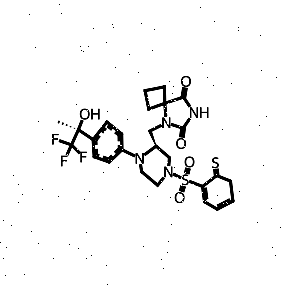 C[C@](O)(c1ccc(N2CCN(S(=O)(=O)C3=CC=CCC3=S)C[C@@H]2CN2C(=O)NC(=O)C23CCC3)cc1)C(F)(F)F